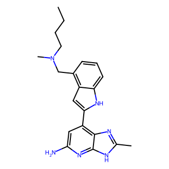 CCCCN(C)Cc1cccc2[nH]c(-c3cc(N)nc4[nH]c(C)nc34)cc12